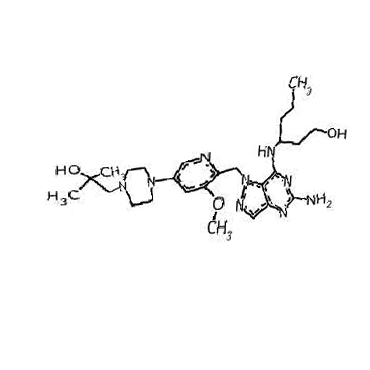 CCCC(CCO)Nc1nc(N)nc2cnn(Cc3ncc(N4CCN(CC(C)(C)O)CC4)cc3OC)c12